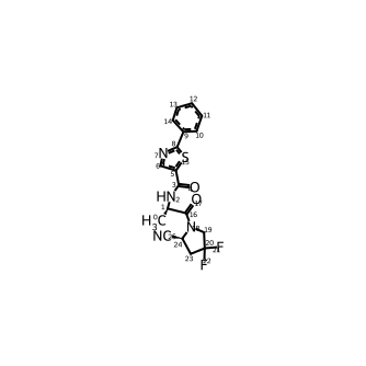 C[C@@H](NC(=O)c1cnc(-c2ccccc2)s1)C(=O)N1CC(F)(F)C[C@H]1C#N